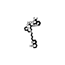 O=C(NC(CCN(CCCCc1ccc2c(n1)NCCC2)CC1CCCO1)C(=O)O)c1ncccc1C(F)(F)F